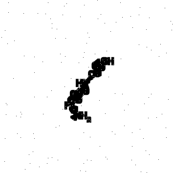 NC1(c2ccc(-c3cc(S(=O)(=O)N4CCC5(CC4)C[C@@H](NCCCOc4cccc(S(=O)(=O)C6(CO)CC6)c4)CO5)ccc3F)cc2)CC1